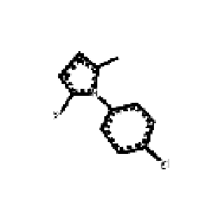 Cc1[c]cc(Br)n1-c1ccc(Cl)cc1